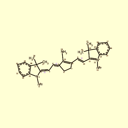 CCCN1/C(=C/C=C2\CCC(/C=C/C3=[N+](CCC)c4ccccc4C3(C)C)=C2N)C(C)(C)c2ccccc21